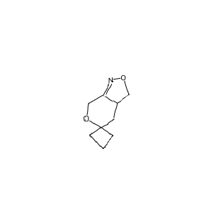 C1CC2(C1)CC1CON=C1CO2